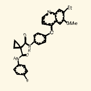 CCc1cc2nccc(Oc3ccc(NC(=O)C4(C(=O)Nc5ccc(F)cc5)CC4)cc3)c2cc1OC